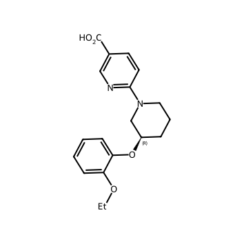 CCOc1ccccc1O[C@@H]1CCCN(c2ccc(C(=O)O)cn2)C1